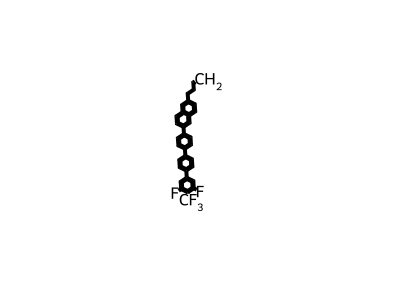 C=CCCc1ccc2cc(-c3ccc(-c4ccc(-c5cc(F)c(C(F)(F)F)c(F)c5)cc4)cc3)ccc2c1